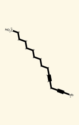 CCCC#CCC#CCCCCCCCCCC(=O)O